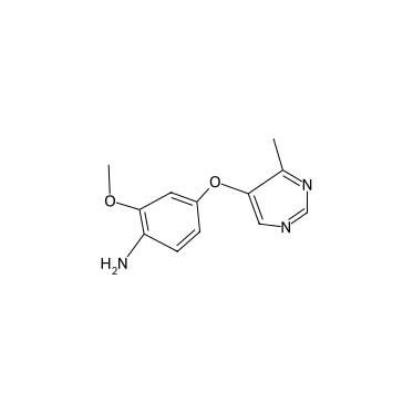 COc1cc(Oc2cncnc2C)ccc1N